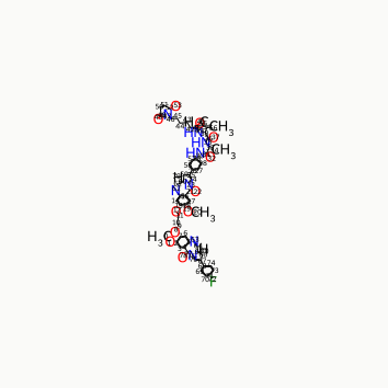 COc1cc2c(cc1OCCCOc1cc3c(cc1OC)C(=O)N1C=C(c4ccc(NC(=O)[C@H](C)NC(=O)[C@@H](NC(=O)CCCCCN5C(=O)C=CC5=O)C(C)C)cc4)C[C@H]1C=N3)N=C[C@@H]1CC(c3ccc(F)cc3)=CN1C2=O